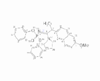 COc1ccc2cc(C(C)/C(=N/P(=O)(Oc3ccccc3)Oc3ccccc3)N3CCCC3)ccc2c1